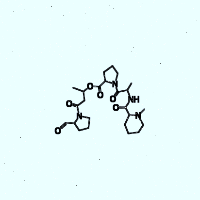 CC(CC(=O)N1CCCC1C=O)OC(=O)C1CCCN1C(=O)C(C)NC(=O)C1CCCCN1C